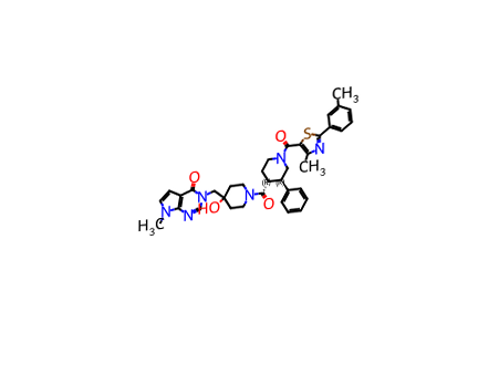 Cc1cccc(-c2nc(C)c(C(=O)N3CC[C@@H](C(=O)N4CCC(O)(Cn5cnc6c(ccn6C)c5=O)CC4)[C@H](c4ccccc4)C3)s2)c1